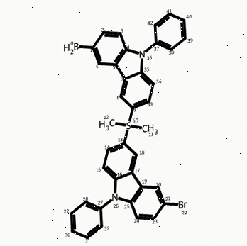 Bc1ccc2c(c1)c1cc(S(C)(C)c3ccc4c(c3)c3cc(Br)ccc3n4-c3ccccc3)ccc1n2-c1ccccc1